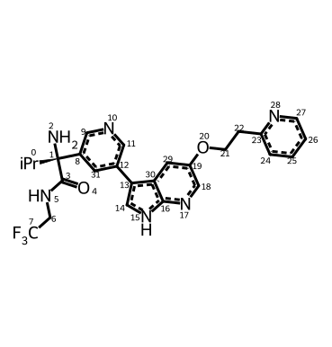 CC(C)[C@](N)(C(=O)NCC(F)(F)F)c1cncc(-c2c[nH]c3ncc(OCCc4ccccn4)cc23)c1